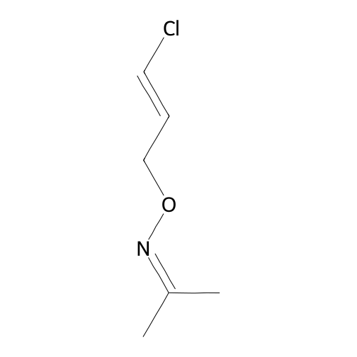 CC(C)=NOCC=CCl